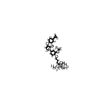 CC(C)(CCCOc1ccc(N2CC=C(Oc3ccc(C4CC4)cc3)C2=O)cc1OC(F)F)[Si](C)(C)O